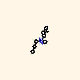 CC1(C)c2ccccc2-c2ccc3cc(-c4nc(-c5cccc(-c6ccc(-c7ccccc7)cc6)c5)nc5ccccc45)ccc3c21